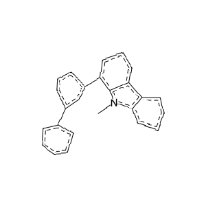 Cn1c2ccccc2c2cccc(-c3cccc(-c4ccccc4)c3)c21